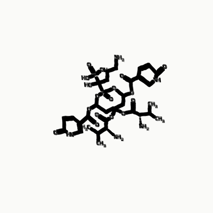 CC(C)[C@H](N)C(=O)OCCC(OC(=O)c1ccc(=O)[nH]c1)OP(=O)(OC(CCOC(=O)[C@@H](N)C(C)C)OC(=O)c1ccc(=O)[nH]c1)C(O)(CCCN)P(=O)(O)O